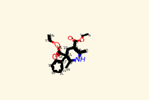 CCOC(=O)C1=C(C)NC(C)C(C(=O)OCC)(c2ccccc2)C1